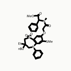 CCCCC1(CC)CN(c2ccccc2)c2cc(SC)c(OCC(=O)N(C)C(C(=O)OC)c3ccccc3)cc2S(=O)(=O)C1